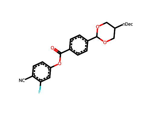 CCCCCCCCCCC1COC(c2ccc(C(=O)Oc3ccc(C#N)c(F)c3)cc2)OC1